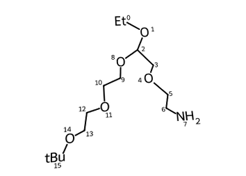 CCOC(COCCN)OCCOCCOC(C)(C)C